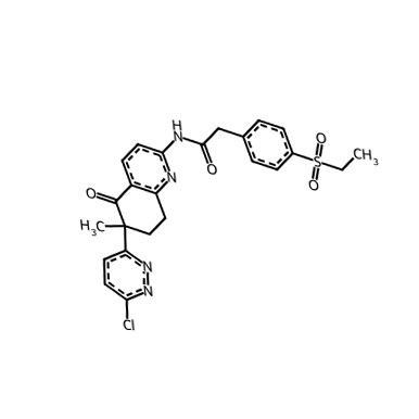 CCS(=O)(=O)c1ccc(CC(=O)Nc2ccc3c(n2)CCC(C)(c2ccc(Cl)nn2)C3=O)cc1